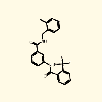 Cc1ccccc1CNC(=O)c1cccc(NC(=O)c2ccccc2C(F)(F)F)c1